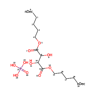 CCCCCCCCCCCCCCOC(=O)C(O)C(O)C(=O)OCCCCCCCCCCCCCC.O=P(O)(O)O